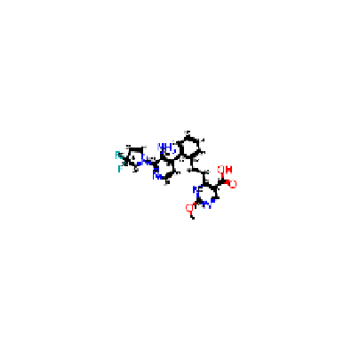 COc1ncc(C(=O)O)c(CCc2ccccc2-c2ccnc(N3CCC(F)(F)C3)c2N)n1